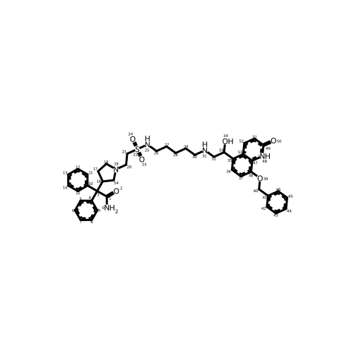 NC(=O)C(c1ccccc1)(c1ccccc1)C1CCN(CCS(=O)(=O)NCCCCCNCC(O)c2ccc(OCc3ccccc3)c3[nH]c(=O)ccc23)C1